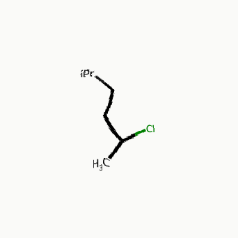 [CH2]C(C)CCC(C)Cl